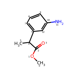 COC(=O)C(C)c1cccc(N)c1